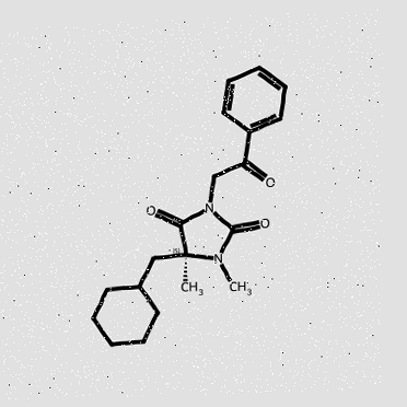 CN1C(=O)N(CC(=O)c2ccccc2)C(=O)[C@]1(C)CC1CCCCC1